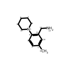 Cc1ccc(N2CCCCC2)c(CN)c1